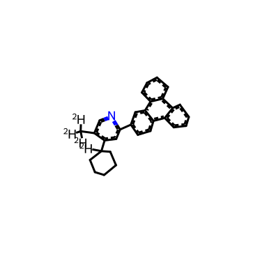 [2H]C([2H])([2H])c1cnc(-c2ccc3c4ccccc4c4ccccc4c3c2)cc1C1([2H])CCCCC1